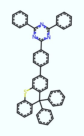 c1ccc(-c2nc(-c3ccccc3)nc(-c3ccc(-c4ccc5c(c4)Sc4ccccc4C5(c4ccccc4)c4ccccc4)cc3)n2)cc1